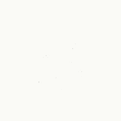 CCOC(C(C)=O)C(=O)O